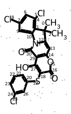 CC1(C)c2c(Cl)cc(Cl)cc2-n2c1cc1oc(=O)c(Sc3cccc(Cl)c3)c(O)c1c2=O